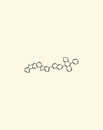 C1=c2c(-c3ccccc3)c3ccccc3c(-c3ccc4cc(-c5ccc6oc7c8cc9c(cc8ccc7c6c5)sc5ccccc59)ccc4c3)c2=CCC1